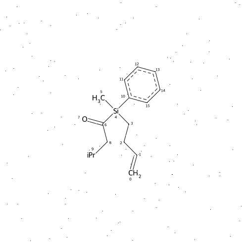 C=CCC[Si](C)(C(=O)CC(C)C)c1ccccc1